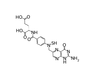 Nc1nc(=O)c2nc(CN(S)c3ccc(C(=O)N[C@@H](CCC(=O)O)C(=O)O)cc3)cnc2[nH]1